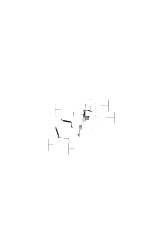 O=P(O)(S)Oc1nc(F)c(F)cc1F